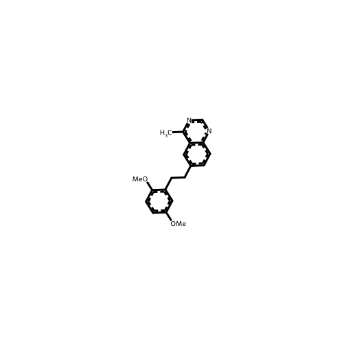 COc1ccc(OC)c(CCc2ccc3ncnc(C)c3c2)c1